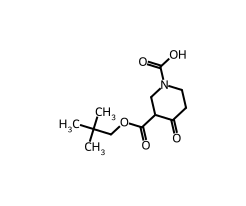 CC(C)(C)COC(=O)C1CN(C(=O)O)CCC1=O